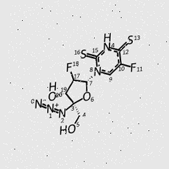 [N-]=[N+]=N[C@]1(CO)O[C@@H](n2cc(F)c(=S)[nH]c2=S)C(F)[C@H]1O